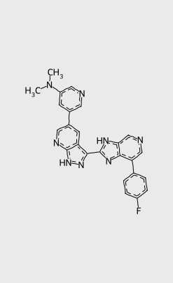 CN(C)c1cncc(-c2cnc3[nH]nc(-c4nc5c(-c6ccc(F)cc6)cncc5[nH]4)c3c2)c1